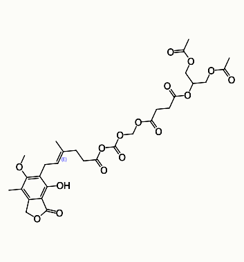 COc1c(C)c2c(c(O)c1C/C=C(\C)CCC(=O)OC(=O)OCOC(=O)CCC(=O)OC(COC(C)=O)COC(C)=O)C(=O)OC2